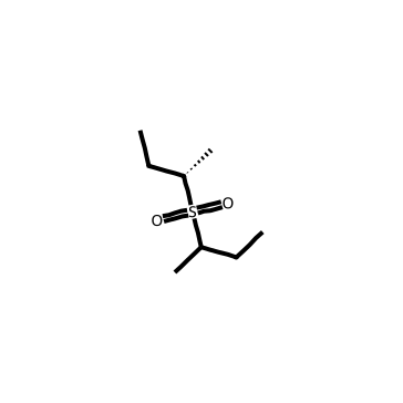 CCC(C)S(=O)(=O)[C@@H](C)CC